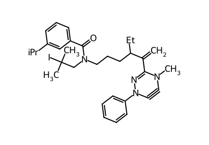 C=C(C1=NN(c2ccccc2)C#CN1C)C(CC)CCCN(CC(C)(C)I)C(=O)c1cccc(C(C)C)c1